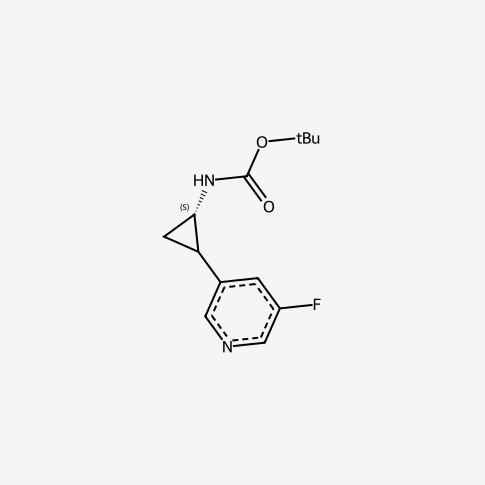 CC(C)(C)OC(=O)N[C@H]1CC1c1cncc(F)c1